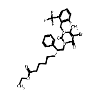 CCOC(=O)CCCCC[C@@H](Cn1c(=O)c(Br)c(C)n(Cc2c(F)cccc2C(F)(F)F)c1=O)c1ccccc1